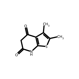 Cc1sc2c(c1C)C(=O)CC(=O)N2